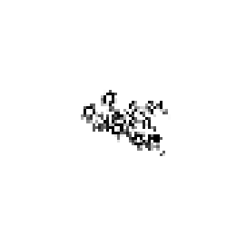 CC(C)(C)CNC(=O)c1ccc(-c2cc(NC(=O)OCc3ccccc3)ccc2C(=O)Nc2ccc(C(=N)N)cc2)c(C(=O)OCc2ccccc2)c1